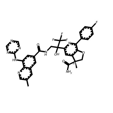 Cc1cnc2c(Nc3ncncn3)cc(C(=O)NCC(O)(c3cc4c(c(-c5ccc(F)cc5)n3)OC[C@]4(C)C(N)=O)C(F)(F)F)cc2c1